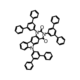 O=c1c2cc3c(cc2n(-c2cc(-c4ccccc4)cc(-c4ccccc4)c2)c(=O)n1-c1cc(-c2ccccc2)cc(-c2ccccc2)c1)c1ccccc1n3-c1cc(-c2ccccc2)cc(-c2ccccc2)c1